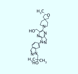 C[C@H]1CC2(CCN(c3nc4cnn(-c5ccc6cnn(CC(C)(C)O)c6c5)c4nc3CO)CC2)CO1